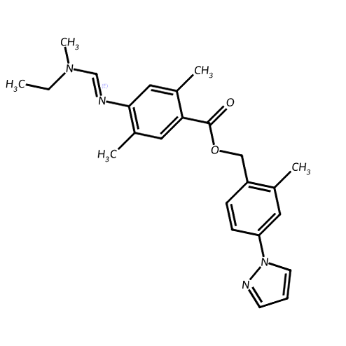 CCN(C)/C=N/c1cc(C)c(C(=O)OCc2ccc(-n3cccn3)cc2C)cc1C